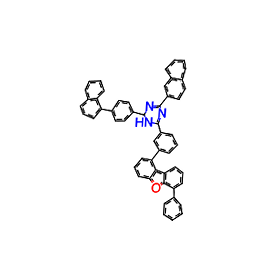 c1ccc(-c2cccc3c2oc2cccc(-c4cccc(C5=NC(c6ccc7ccccc7c6)=NC(c6ccc(-c7cccc8ccccc78)cc6)N5)c4)c23)cc1